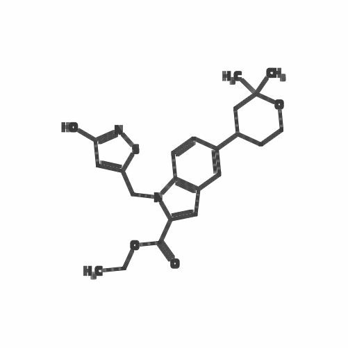 CCOC(=O)c1cc2cc(C3CCOC(C)(C)C3)ccc2n1Cc1cc(O)ns1